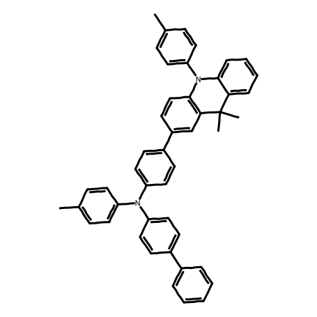 Cc1ccc(N(c2ccc(-c3ccccc3)cc2)c2ccc(-c3ccc4c(c3)C(C)(C)c3ccccc3N4c3ccc(C)cc3)cc2)cc1